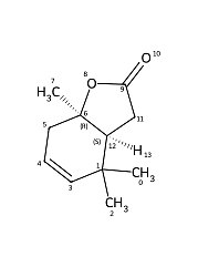 CC1(C)C=CC[C@@]2(C)OC(=O)C[C@@H]12